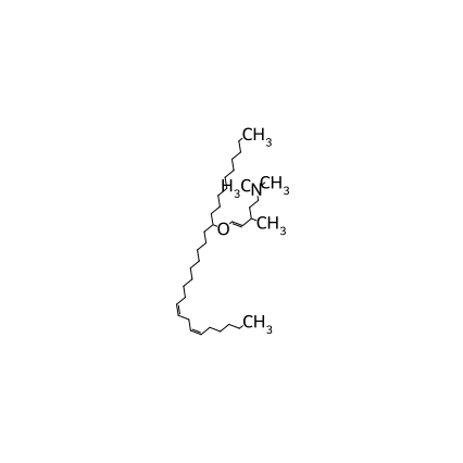 CCCCC/C=C\C/C=C\CCCCCCCCC(CCCCCCCCCC)O/C=C/C(C)CCN(C)C